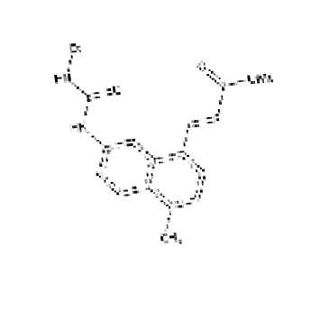 CCNC(=O)Nc1cc2c(C=CC(=O)OC)ccc(C)c2cn1